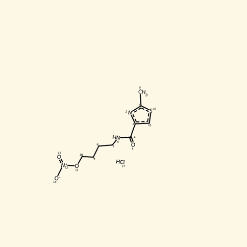 Cc1nc(C(=O)NCCCCO[N+](=O)[O-])cs1.Cl